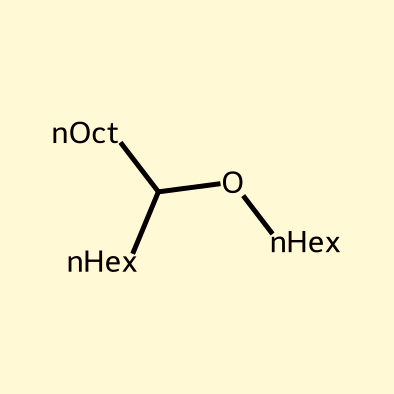 CCCCCCCCC(CCCCCC)OCCCCCC